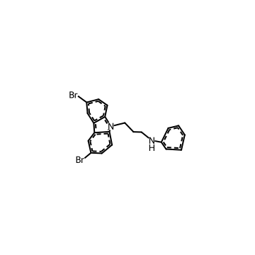 Brc1ccc2c(c1)c1cc(Br)ccc1n2CCCNc1ccccc1